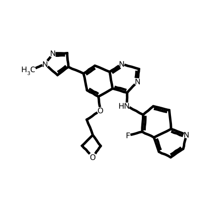 Cn1cc(-c2cc(OCC3COC3)c3c(Nc4ccc5ncccc5c4F)ncnc3c2)cn1